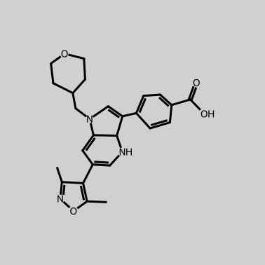 Cc1noc(C)c1C1=CNC2C(c3ccc(C(=O)O)cc3)=CN(CC3CCOCC3)C2=C1